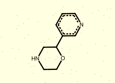 c1cncc([C]2CNCCO2)c1